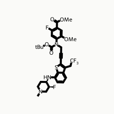 COC(=O)c1cc(OC)c(N(CC#Cc2sc3c(N[C@@H]4CCN(C)C[C@@H]4F)cccc3c2CC(F)(F)F)C(=O)OC(C)(C)C)cc1F